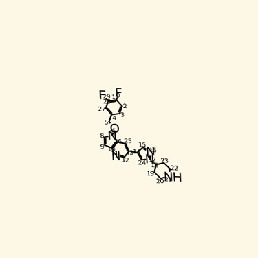 Fc1ccc(COn2ccc3ncc(-c4cnn(C5CCNCC5)c4)cc32)cc1F